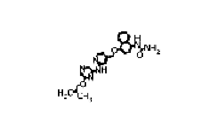 CC(C)COc1cncc(Nc2cc(COc3ccc(NC(N)=O)c4ccccc34)ccn2)n1